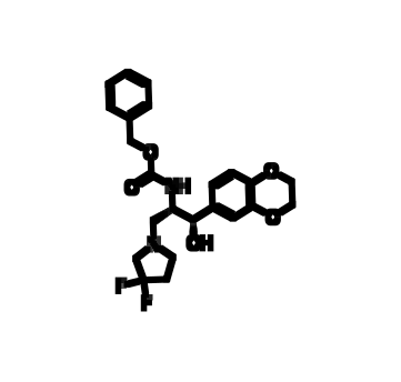 O=C(N[C@H](CN1CCC(F)(F)C1)[C@H](O)c1ccc2c(c1)OCCO2)OCc1ccccc1